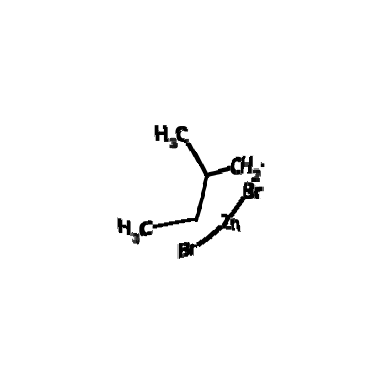 [Br][Zn][Br].[CH2]C(C)CC